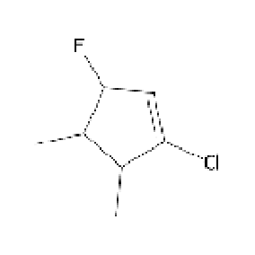 CC1C(Cl)=CC(F)C1C